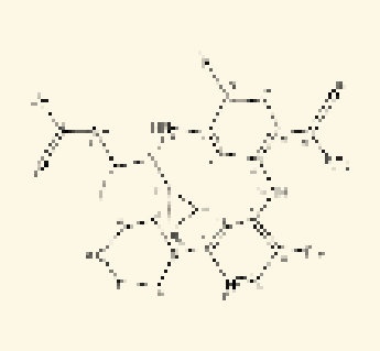 C[C@H](NC(=O)O)[C@H](Nc1nc(Nc2cc(N3CCOCC3)ncc2F)c(C(N)=O)cc1F)C1CC1